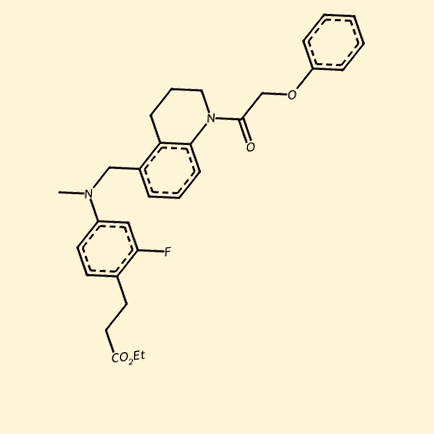 CCOC(=O)CCc1ccc(N(C)Cc2cccc3c2CCCN3C(=O)COc2ccccc2)cc1F